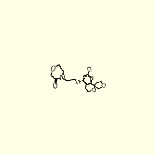 O=C1COCCN1CCOc1cc(Cl)nc2c1CCOC21CCOC1